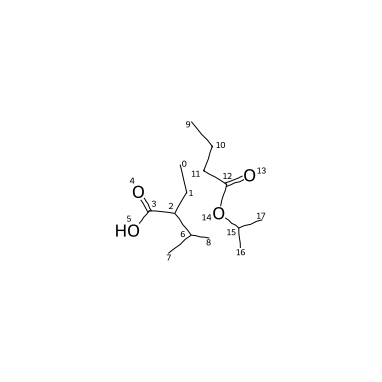 CCC(C(=O)O)C(C)C.CCCC(=O)OC(C)C